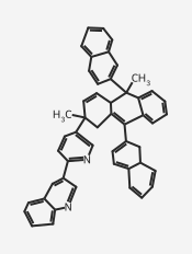 CC1(c2ccc(-c3cnc4ccccc4c3)nc2)C=CC2C(=C(C3=CC=C4C=CC=CC4C3)c3ccccc3C2(C)c2ccc3ccccc3c2)C1